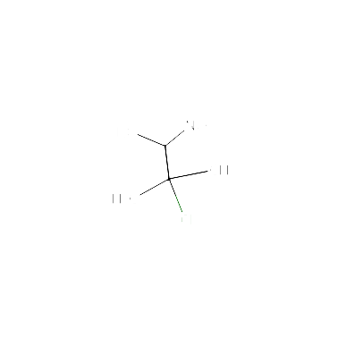 CC(N=O)C(C)(C)Cl